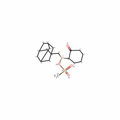 O=C1CCCCC1[S+](CC12CC3CC(CC(C3)C1)C2)OS(=O)(=O)C(F)(F)F